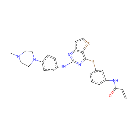 C=CC(=O)Nc1cccc(Sc2nc(Nc3ccc(N4CCN(C)CC4)cc3)nc3ccsc23)c1